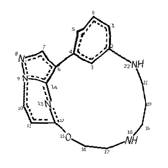 c1cc2cc(c1)-c1cnn3ccc(nc13)OCCNCCCN2